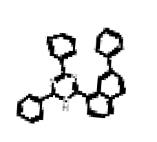 c1ccc(C2=NC(c3ccccc3)NC(c3cccc4ccc(-c5ccccc5)cc34)=N2)cc1